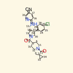 CC1(C(=O)N2CCC(C(=O)N3C[C@H](CNc4ccc(C#N)cn4)[C@@H](c4ccc(Cl)cc4)C3)CC2)CC1